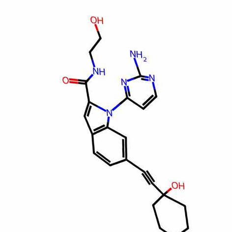 Nc1nccc(-n2c(C(=O)NCCO)cc3ccc(C#CC4(O)CCCCC4)cc32)n1